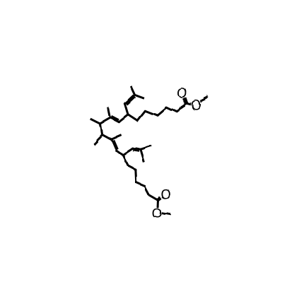 COC(=O)CCCCCC(C=C(C)C)/C=C(\C)C(C)C(C)/C(C)=C/C(C=C(C)C)CCCCCC(=O)OC